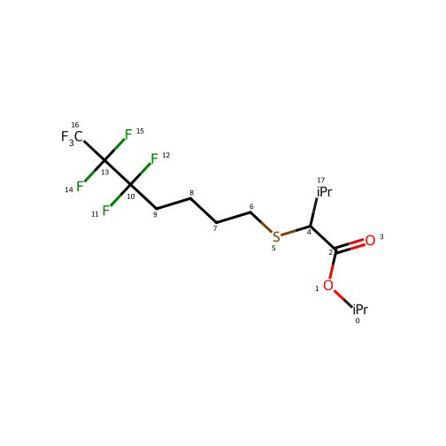 CC(C)OC(=O)C(SCCCCC(F)(F)C(F)(F)C(F)(F)F)C(C)C